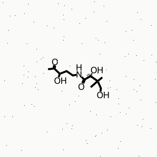 CC(=O)C(O)CCNC(=O)[C@H](O)C(C)(C)CO